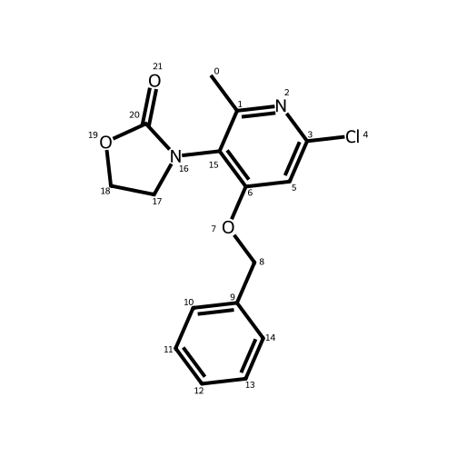 Cc1nc(Cl)cc(OCc2ccccc2)c1N1CCOC1=O